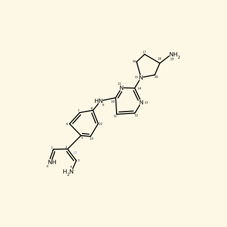 N=C/C(=C\N)c1ccc(Nc2ccnc(N3CCC(N)C3)n2)cc1